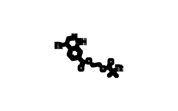 CCC1C=NNc2cc(C(=O)OCCOC(=O)C(C)(C)CC)ccc21